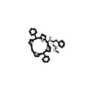 COOC[C@@H](Cc1ccccc1)Nc1c2nc(c(-c3ccccc3)c3ccc(cc4nc(c(-c5ccccc5)c5ccc1[nH]5)C=C4)[nH]3)C=C2